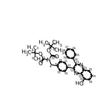 CC(C)(C)OC(=O)N(Cc1ccc(-c2nc3c(O)cccc3nc2-c2ccccc2)cc1)C(=O)OC(C)(C)C